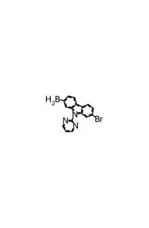 Bc1ccc2c3ccc(Br)cc3n(-c3ncccn3)c2c1